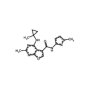 Cc1nc(NC2(C)CC2)c2c(C(=O)Nc3ccn(C)n3)coc2n1